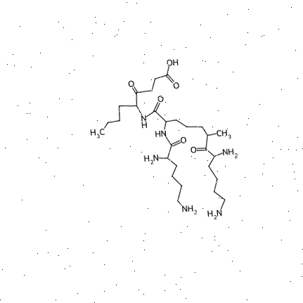 CCCCC(NC(=O)C(CCCC(C)C(=O)C(N)CCCCN)NC(=O)C(N)CCCCN)C(=O)CCC(=O)O